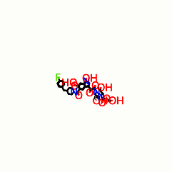 O=C(C(=O)N1C[C@@H](O)N(C(=O)OCO)CC1O)c1cn(O)c2cc(OO)c(C(=O)N3CCC(Cc4ccc(F)cc4)CC3)cc12